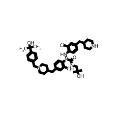 CC(C)(O)CNC(=O)N(Nc1ccc(CC2CCNCC2)cc1Cl)c1ccc(CC2CCN(Cc3ccc(C(O)(C(F)(F)F)C(F)(F)F)cc3)CC2)cc1Cl